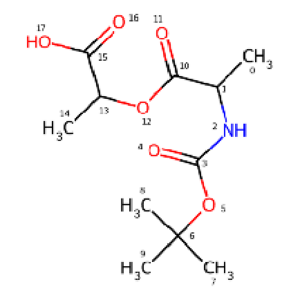 CC(NC(=O)OC(C)(C)C)C(=O)OC(C)C(=O)O